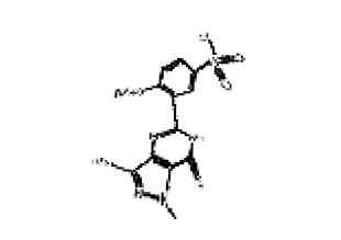 CCCc1nn(C)c2c(=S)[nH]c(-c3cc(S(=O)(=O)Cl)ccc3OC)nc12